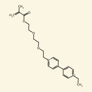 C=C(C)C(=O)OCCOCCOCC[n+]1ccc(-c2cc[n+](CC)cc2)cc1